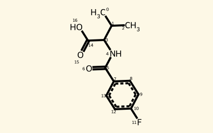 CC(C)C(NC(=O)c1ccc(F)cc1)C(=O)O